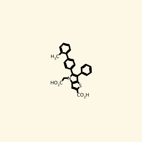 Cc1ccccc1-c1ccc(-c2c(-c3ccccc3)c3sc(C(=O)O)cc3n2CC(=O)O)cc1